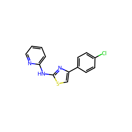 Clc1ccc(-c2csc(Nc3ccccn3)n2)cc1